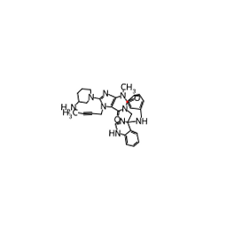 CC#CCn1c(N2CCCC(N)C2)nc2c1c(=O)n(CC1(NCc3ccccc3)N=CNc3ccccc31)c(=O)n2C